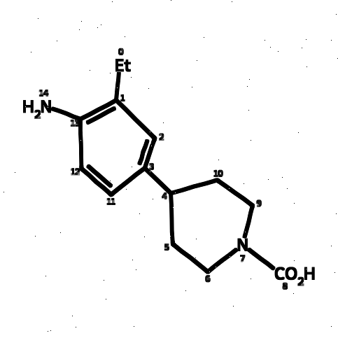 CCc1cc(C2CCN(C(=O)O)CC2)ccc1N